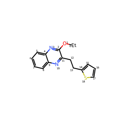 CCOc1nc2ccccc2nc1CCc1cccs1